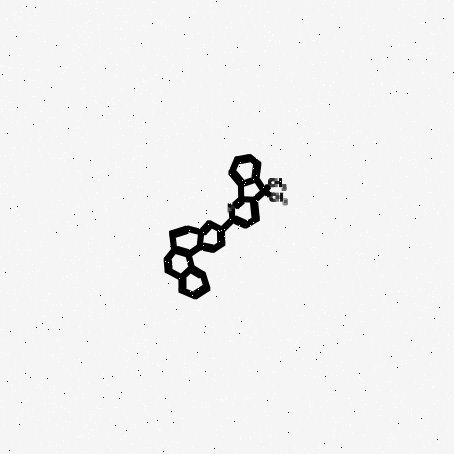 CC1(C)c2ccccc2-c2nc(-c3ccc4c(ccc5ccc6ccccc6c54)c3)ccc21